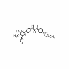 CCc1nc(-c2ccc(NC(=O)Nc3ccc(N4CCN(C)CC4)cc3)cc2)nc(N2CCOCC2)c1C